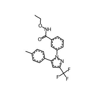 CCONC(=O)c1cccc(-n2nc(C(F)(F)F)cc2-c2ccc(C)cc2)c1